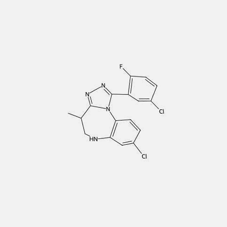 CC1CNc2cc(Cl)ccc2-n2c(-c3cc(Cl)ccc3F)nnc21